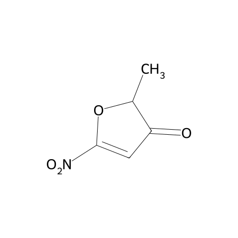 CC1OC([N+](=O)[O-])=CC1=O